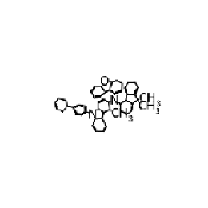 CC1C2C3C=CC=CC3N(c3ccc(C4CC=CCC4)cc3)C2C=CC1N(C1=CCCC2OC3C=CC=CC3C12)C1CCCC2C1C1=CCCC=C1C2(C)C